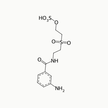 Nc1cccc(C(=O)NCCS(=O)(=O)CCOS(=O)(=O)O)c1